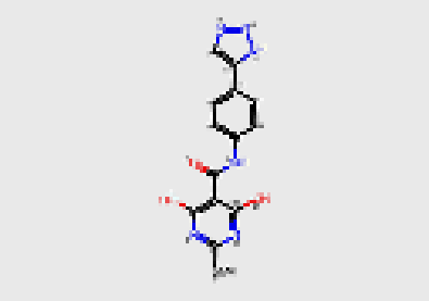 CSc1nc(O)c(C(=O)Nc2ccc(-c3cnn[nH]3)cc2)c(O)n1